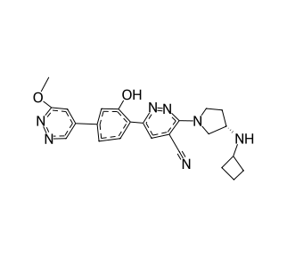 COc1cc(-c2ccc(-c3cc(C#N)c(N4CC[C@H](NC5CCC5)C4)nn3)c(O)c2)cnn1